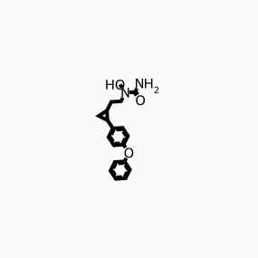 NC(=O)N(O)CCC1CC1c1ccc(Oc2ccccc2)cc1